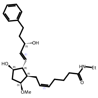 CCNC(=O)CCC/C=C\C[C@@H]1[C@@H](/C=C/[C@@H](O)CCc2ccccc2)[C@H](O)C[C@@H]1OC